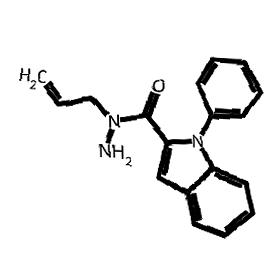 C=CCN(N)C(=O)c1cc2ccccc2n1-c1ccccc1